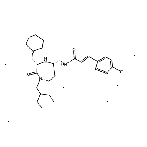 CCC(CC)CN1CC[C@@H](CNC(=O)C=Cc2ccc(Cl)cc2)N[C@@H](CN2CCCCC2)C1=O